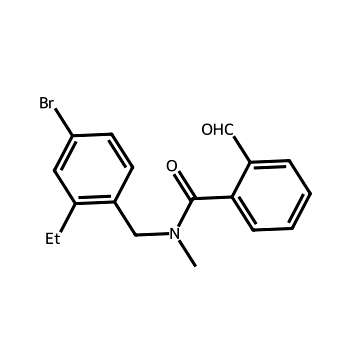 CCc1cc(Br)ccc1CN(C)C(=O)c1ccccc1C=O